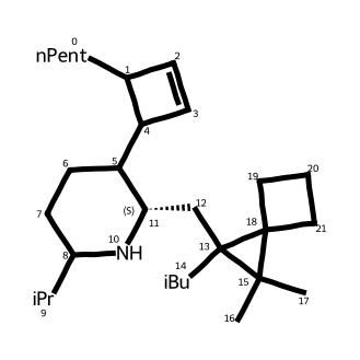 CCCCCC1C=CC1C1CCC(C(C)C)N[C@H]1CC1(C(C)CC)C(C)(C)C12CCC2